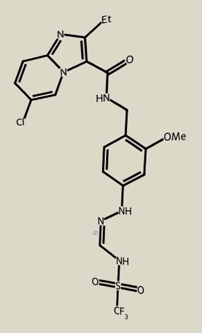 CCc1nc2ccc(Cl)cn2c1C(=O)NCc1ccc(N/N=C\NS(=O)(=O)C(F)(F)F)cc1OC